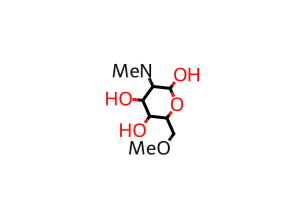 CNC1C(O)OC(COC)C(O)C1O